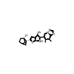 Cc1c(-c2[nH]c3sc([C@@H]4CC5CC[C@@H]4C5)cc3c2C(C)C)cn2ncnc2c1C